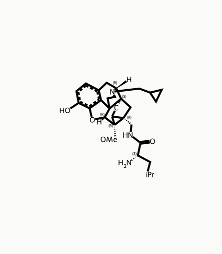 CO[C@]12C3C[C@@]4(C[C@]31CNC(=O)[C@@H](N)CC(C)C)[C@H]1Cc3ccc(O)c5c3C4(CCN1CC1CC1)[C@H]2O5